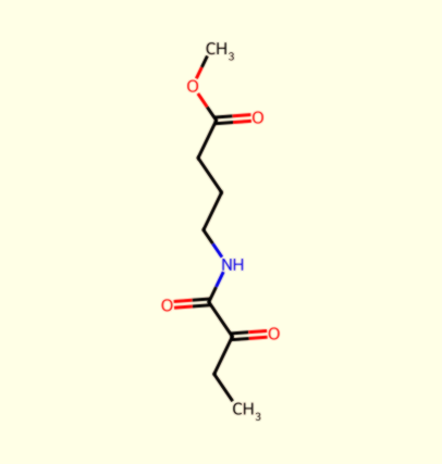 CCC(=O)C(=O)NCCCC(=O)OC